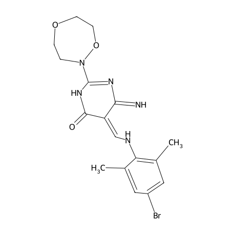 Cc1cc(Br)cc(C)c1N/C=C1\C(=N)N=C(N2CCOCCO2)NC1=O